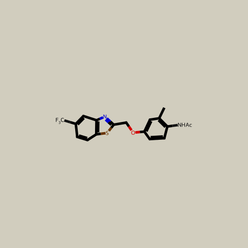 CC(=O)Nc1ccc(OCc2nc3cc(C(F)(F)F)ccc3s2)cc1C